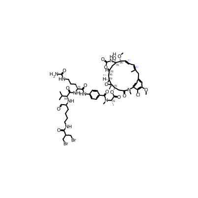 COc1cc2cc(c1Cl)N(C)C(=O)C[C@H](OC(=O)[C@H](C)N(C)C(=O)c1ccc(NC(=O)[C@H](CCCNC(N)=O)NC(=O)[C@@H](NC(C=O)CCCCNC(=O)C(CBr)CBr)C(C)C)cc1)[C@]1(C)O[C@H]1[C@H](C)[C@@H]1C[C@@](O)(NC(=O)O1)[C@H](OC)/C=C/C=C(\C)C2